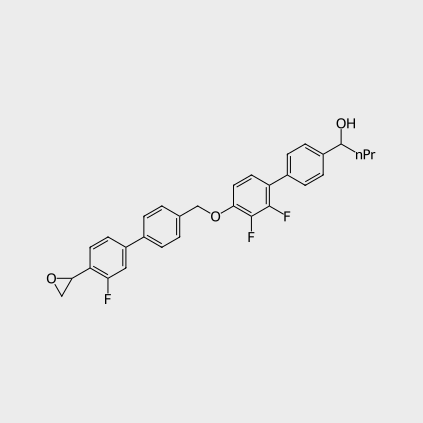 CCCC(O)c1ccc(-c2ccc(OCc3ccc(-c4ccc(C5CO5)c(F)c4)cc3)c(F)c2F)cc1